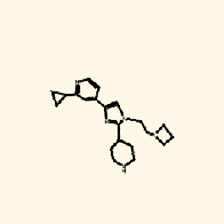 c1cc(-c2cn(CCN3CCC3)c(C3CCNCC3)n2)cc(C2CC2)n1